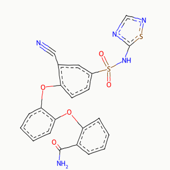 N#Cc1cc(S(=O)(=O)Nc2ncns2)ccc1Oc1ccccc1Oc1ccccc1C(N)=O